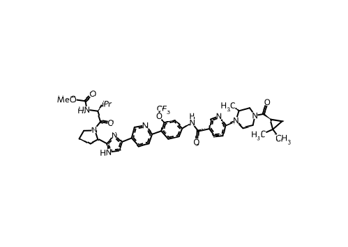 COC(=O)N[C@H](C(=O)N1CCCC1c1nc(-c2ccc(-c3ccc(NC(=O)c4ccc(N5CCN(C(=O)[C@H]6CC6(C)C)CC5C)nc4)cc3OC(F)(F)F)nc2)c[nH]1)C(C)C